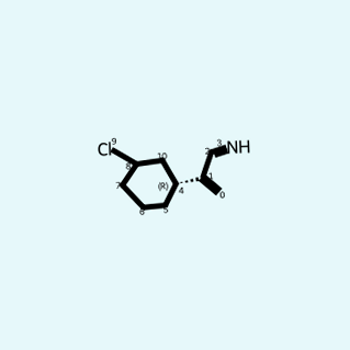 C=C(C=N)[C@@H]1CCCC(Cl)C1